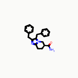 NC(=O)C1CCc2nc(Cc3ccccc3)c(Cc3ccccc3)n2C1